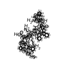 CCC(C)C[C@H](NC(=O)[C@H](Cc1ccccc1)NC(=O)[C@H](CCCCN)NC(=O)[C@H](CCCCN)NC(=O)[C@H](CCC(=O)O)NC(=O)[C@H](CO)NC(=O)[C@H](Cc1ccccc1)NC(=O)[C@H](Cc1ccccc1)NC(=O)[C@H](C)NC(=O)[C@@H](C)CCSC)C(=O)N[C@@H](Cc1c[nH]c2ccccc12)C(=O)NCC(=O)N[C@@H](Cc1ccccc1)C(=O)N[C@H](C(N)=O)[C@@H](C)O